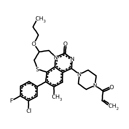 C=CC(=O)N1CCN(c2nc(=O)n3c4c(c(-c5ccc(F)c(Cl)c5)c(C)cc24)SCC(OCCC)C3)CC1